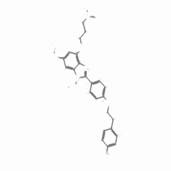 CCCCOc1cc(OCCCN(CC)CC)c2nc(-c3ccc(OCCc4ccc(Cl)cc4)cc3)n(CCCC)c2c1